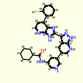 O=C(Nc1cncc(-c2cnc3[nH]nc(-c4nc5c(-c6ccccc6F)ccnc5[nH]4)c3c2)c1)C1CCCCC1